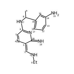 CCN/C=C1/N=CC(NC(C)c2cccc(N)c2)=NC1=N